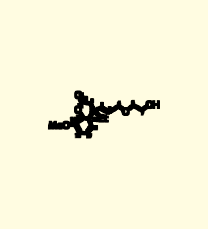 CCC1(C=CCOCCO)CC(=O)OC2C(OC)=CC=CC21